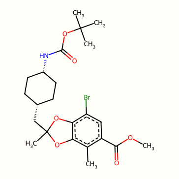 COC(=O)c1cc(Br)c2c(c1C)OC(C)(C[C@H]1CC[C@@H](NC(=O)OC(C)(C)C)CC1)O2